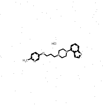 Cc1ccc(OCCCN2CCN(c3cccc4sccc34)CC2)cn1.Cl